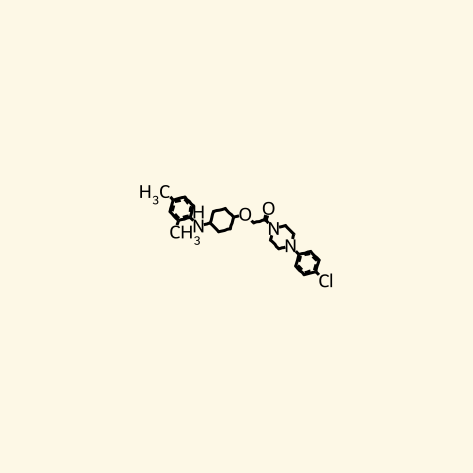 Cc1ccc(NC2CCC(OCC(=O)N3CCN(c4ccc(Cl)cc4)CC3)CC2)c(C)c1